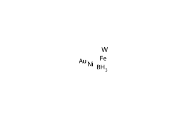 B.[Au].[Fe].[Ni].[W]